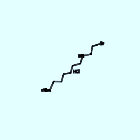 CCCCCCCCCCCCNCCBr.Cl